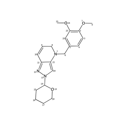 COc1ccc(CN2CC=Cc3nn(C4CCCCO4)cc32)cc1OC